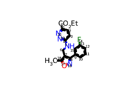 CCOC(=O)c1ccc(NCc2c(-c3cccc(F)c3)noc2C)nn1